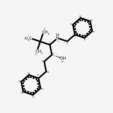 CC(C)(C)C(NCc1ccccc1)[C@H](O)CCc1ccccc1